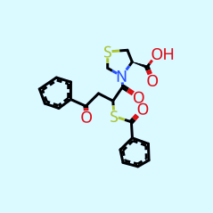 O=C(CC(SC(=O)c1ccccc1)C(=O)N1CSC[C@H]1C(=O)O)c1ccccc1